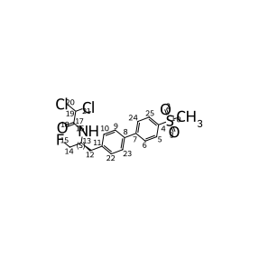 CS(=O)(=O)c1ccc(-c2ccc(C[C@@H](CF)NC(=O)C(Cl)Cl)cc2)cc1